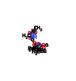 C=CCOC(=O)NC(C(=O)NC(C)C(=O)Nc1ccc(COC(=O)Nc2cc(O[Si](C(C)C)(C(C)C)C(C)C)c(OC)cc2C(=O)N2CC(OC(=O)c3ccccc3)CC2CO[Si](C)(C)C(C)(C)C)cc1)C(C)C